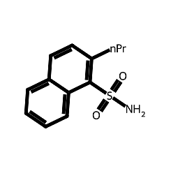 CCCc1ccc2ccccc2c1S(N)(=O)=O